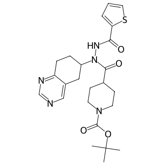 CC(C)(C)OC(=O)N1CCC(C(=O)N(NC(=O)c2cccs2)C2CCc3ncncc3C2)CC1